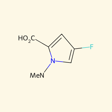 CNn1cc(F)cc1C(=O)O